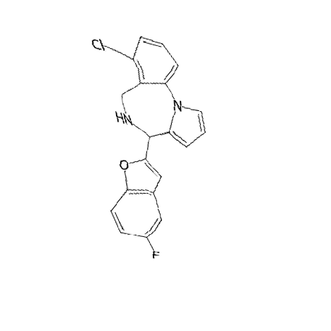 Fc1ccc2oc(C3NCc4c(Cl)cccc4-n4cccc43)cc2c1